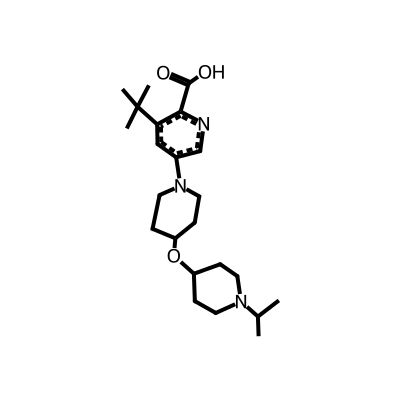 CC(C)N1CCC(OC2CCN(c3cnc(C(=O)O)c(C(C)(C)C)c3)CC2)CC1